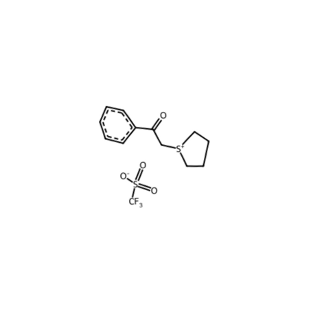 O=C(C[S+]1CCCC1)c1ccccc1.O=S(=O)([O-])C(F)(F)F